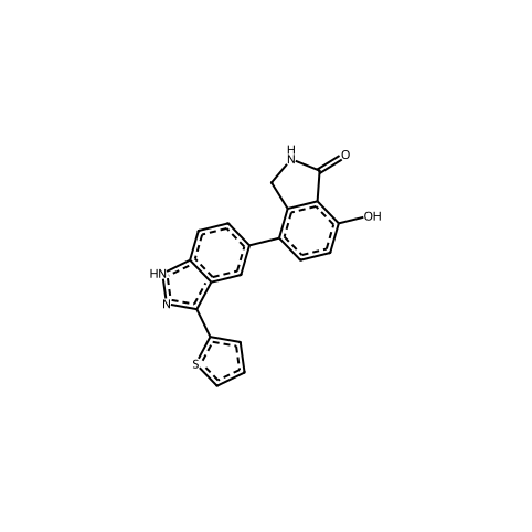 O=C1NCc2c(-c3ccc4[nH]nc(-c5cccs5)c4c3)ccc(O)c21